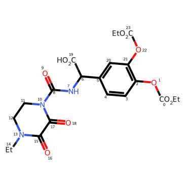 CCOC(=O)Oc1ccc(C(NC(=O)N2CCN(CC)C(=O)C2=O)C(=O)O)cc1OC(=O)OCC